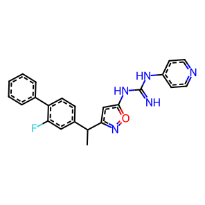 CC(c1ccc(-c2ccccc2)c(F)c1)c1cc(NC(=N)Nc2ccncc2)on1